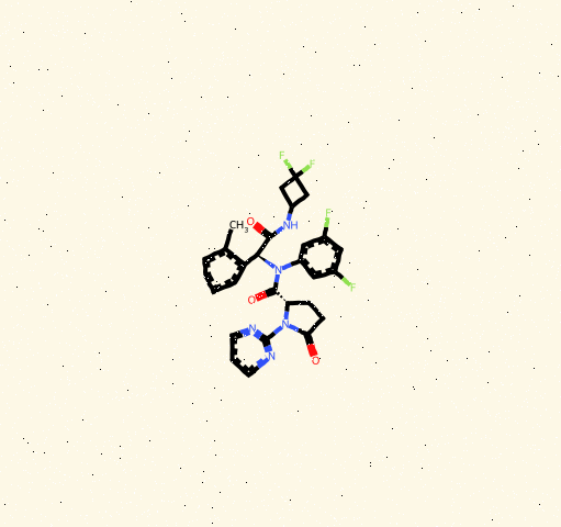 Cc1ccccc1[C@@H](C(=O)NC1CC(F)(F)C1)N(C(=O)[C@@H]1CCC(=O)N1c1ncccn1)c1cc(F)cc(F)c1